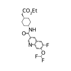 CCOC(=O)C[C@H]1CC[C@H](NC(=O)c2cnc3cc(OC(F)F)c(F)cc3c2)CC1